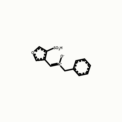 O=S(=O)(O)c1cocc1C=[N+]([O-])Cc1ccccc1